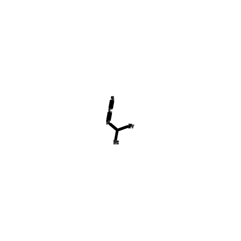 CCC(N=C=S)C(C)C